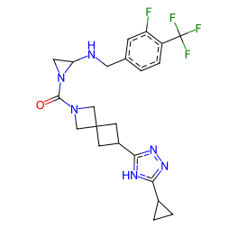 O=C(N1CC2(CC(c3nnc(C4CC4)[nH]3)C2)C1)N1CC1NCc1ccc(C(F)(F)F)c(F)c1